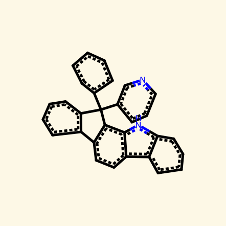 c1ccc(C2(c3cccnc3)c3ccccc3-c3ccc4c([nH]c5ccccc54)c32)cc1